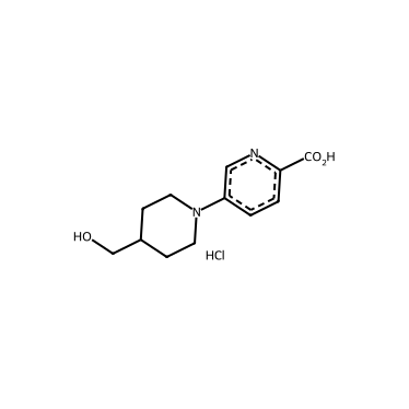 Cl.O=C(O)c1ccc(N2CCC(CO)CC2)cn1